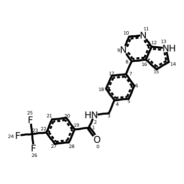 O=C(NCc1ccc(-c2ncnc3[nH]ccc23)cc1)c1ccc(C(F)(F)F)cc1